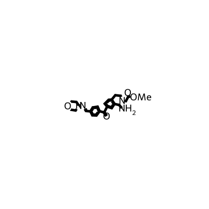 COC(=O)CN1CCc2ccc(C(=O)c3ccc(C=NN4CCOCC4)cc3)cc2C1N